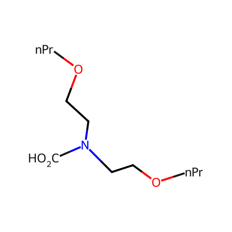 CCCOCCN(CCOCCC)C(=O)O